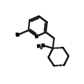 NC1(Cc2cccc(Br)n2)CCCCC1